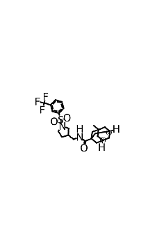 CC12C[C@H]3C[C@@H](C1)CC(C(=O)NCC1CCN(S(=O)(=O)c4cccc(C(F)(F)F)c4)C1)(C3)C2